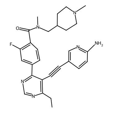 CCc1ncnc(-c2ccc(C(=O)N(C)CC3CCN(C)CC3)c(F)c2)c1C#Cc1ccc(N)nc1